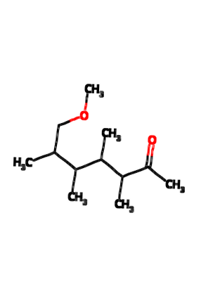 COCC(C)C(C)C(C)C(C)C(C)=O